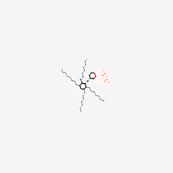 CC(C)CCCCCCCc1c(O)c(CCCCCCCC(C)C)c(CCCCCCCC(C)C)c(C(C)(C)c2ccc(O)cc2)c1CCCCCCCC(C)C.OP(O)OP(O)O